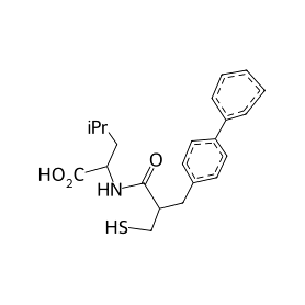 CC(C)CC(NC(=O)C(CS)Cc1ccc(-c2ccccc2)cc1)C(=O)O